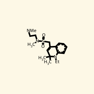 CCN1c2ccccc2C(CS(=O)(=O)N(C)CCNC)=CC1(C)C